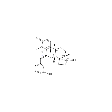 CN1C(=O)C=C[C@]2(C)[C@H]3CC[C@]4(C)[C@@H](O)CC[C@H]4[C@@H]3C/C(=C\c3cccc(O)c3)[C@@H]12